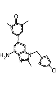 Cc1cc(-c2cc(N)c3nc(C)n(Cc4ccc(Cl)cc4)c3c2)cn(C)c1=O